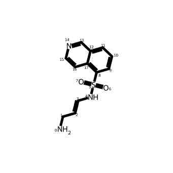 NCC=CNS(=O)(=O)c1cccc2cnccc12